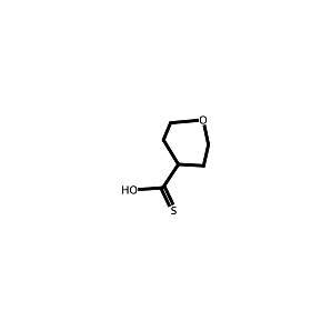 OC(=S)C1CCOCC1